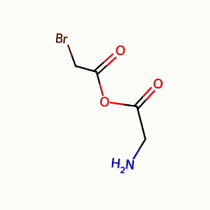 NCC(=O)OC(=O)CBr